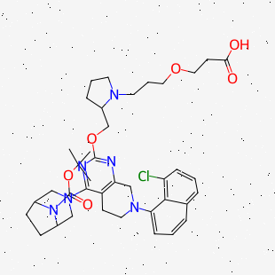 CC(C)(C)OC(=O)N1C2CCC1CN(c1nc(OCC3CCCN3CCCOCCC(=O)O)nc3c1CCN(c1cccc4cccc(Cl)c14)C3)C2